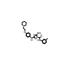 Cc1cccc(NC(=O)n2nc(Nc3ccc(OCCN4CCCCC4)cc3)nc2N)c1